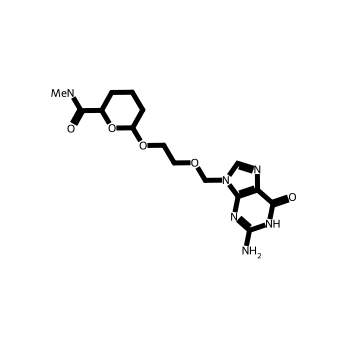 CNC(=O)C1CCCC(OCCOCn2cnc3c(=O)[nH]c(N)nc32)O1